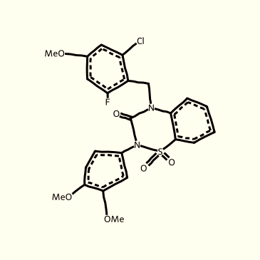 COc1cc(F)c(CN2C(=O)N(c3ccc(OC)c(OC)c3)S(=O)(=O)c3ccccc32)c(Cl)c1